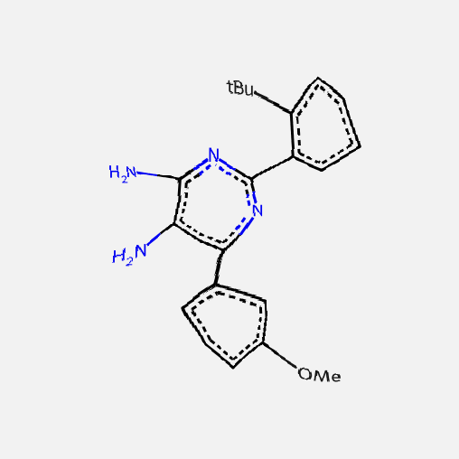 COc1cccc(-c2nc(-c3ccccc3C(C)(C)C)nc(N)c2N)c1